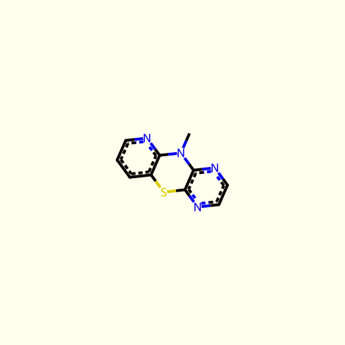 CN1c2ncccc2Sc2nccnc21